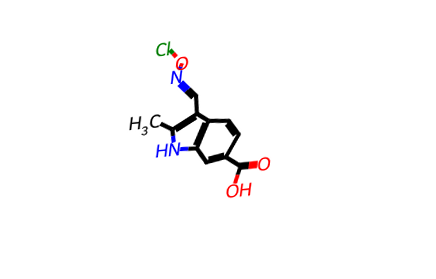 Cc1[nH]c2cc(C(=O)O)ccc2c1C=NOCl